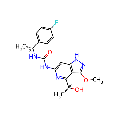 COc1n[nH]c2cc(NC(=O)N[C@H](C)c3ccc(F)cc3)nc([C@H](C)O)c12